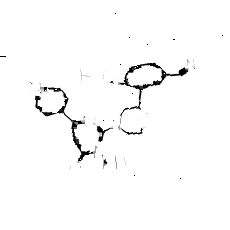 COc1ccc(C#N)cc1C1CN(c2nc(-c3ccncc3)cc(=O)n2C)CCO1